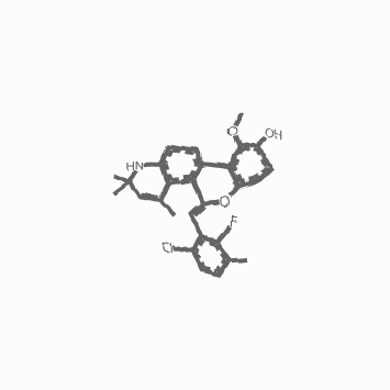 COc1c(O)ccc2c1-c1ccc3c(c1/C(=C/c1c(Cl)ccc(C)c1F)O2)C(C)=CC(C)(C)N3